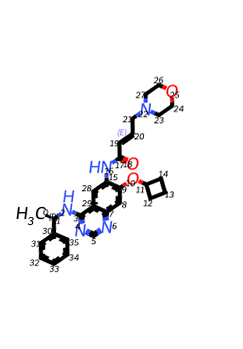 C[C@@H](Nc1ncnc2cc(OC3CCC3)c(NC(=O)/C=C/CN3CCOCC3)cc12)c1ccccc1